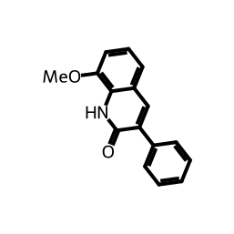 COc1cccc2cc(-c3ccccc3)c(=O)[nH]c12